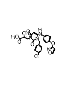 C[C@@H](Cn1c(=O)cc(Nc2ccc(Oc3ccon3)cc2)n(Cc2ccc(Cl)cc2)c1=O)C(=O)O